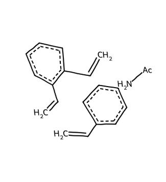 C=Cc1ccccc1.C=Cc1ccccc1C=C.CC(N)=O